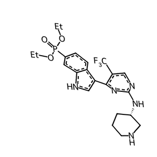 CCOP(=O)(OCC)c1ccc2c(-c3nc(N[C@H]4CCCNC4)ncc3C(F)(F)F)c[nH]c2c1